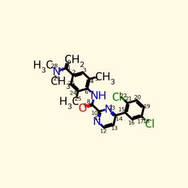 C=C(c1cc(C)c(NC(=O)c2nccc(-c3cc(Cl)ccc3Cl)n2)c(C)c1)N(C)C